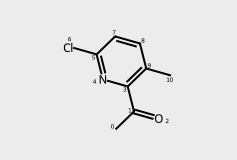 CC(=O)c1nc(Cl)ccc1C